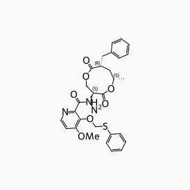 COc1ccnc(C(=O)N(N)[C@H]2COC(=O)[C@H](Cc3ccccc3)C[C@H](C)OC2=O)c1OCSc1ccccc1